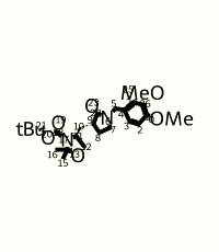 COc1ccc(CN2CC[C@H](C[C@H]3COC(C)(C)N3C(=O)OC(C)(C)C)C2=O)c(OC)c1